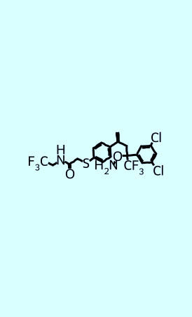 C=C(CC(ON)(c1cc(Cl)cc(Cl)c1)C(F)(F)F)c1ccc(SCC(=O)NCC(F)(F)F)cc1